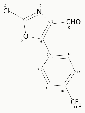 O=Cc1nc(Cl)oc1-c1ccc(C(F)(F)F)cc1